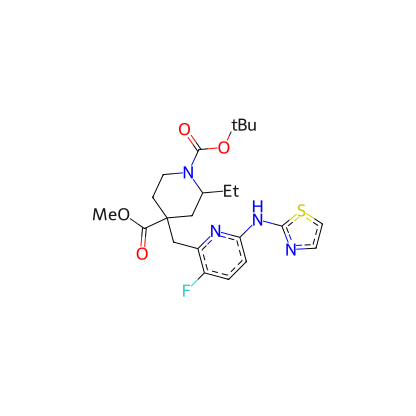 CCC1CC(Cc2nc(Nc3nccs3)ccc2F)(C(=O)OC)CCN1C(=O)OC(C)(C)C